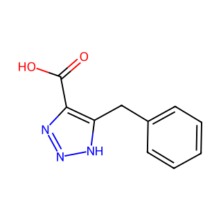 O=C(O)c1nn[nH]c1Cc1ccccc1